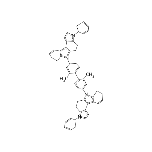 CC1=CC(n2c3c(c4c2CCc2c-4ccn2C2C=CC=CC2)C=CCC3)CC=C1c1ccc(-n2c3c(c4c2CCc2c-4ccn2C2C=CC=CC2)C=CCC3)cc1C